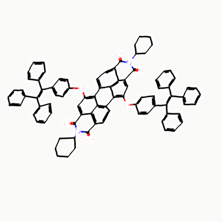 O=C1c2ccc3c4c(Oc5ccc(C(=C(c6ccccc6)c6ccccc6)c6ccccc6)cc5)cc5c6c(ccc(c7c(Oc8ccc(C(=C(c9ccccc9)c9ccccc9)c9ccccc9)cc8)cc(c2c37)C(=O)N1C1CCCCC1)c64)C(=O)N(C1CCCCC1)C5=O